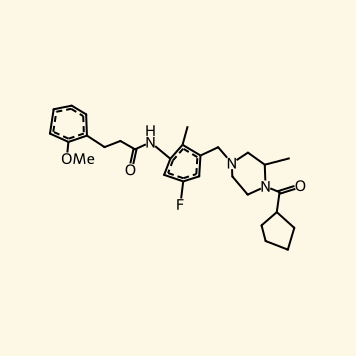 COc1ccccc1CCC(=O)Nc1cc(F)cc(CN2CCN(C(=O)C3CCCC3)C(C)C2)c1C